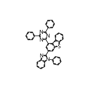 c1ccc(-c2nc(-c3ccccc3)nc(-c3cc(-c4nc5ccccc5n4-c4ccccc4)cc4sc5ccccc5c34)n2)cc1